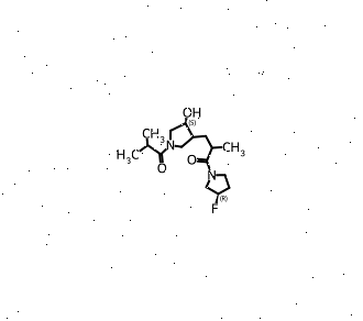 CC(C)C(=O)N1CC(CC(C)C(=O)N2CC[C@@H](F)C2)[C@H](O)C1